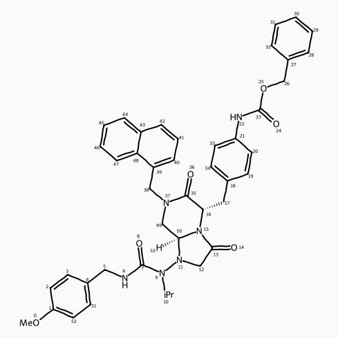 COc1ccc(CNC(=O)N(C(C)C)N2CC(=O)N3[C@@H](Cc4ccc(NC(=O)OCc5ccccc5)cc4)C(=O)N(Cc4cccc5ccccc45)C[C@@H]32)cc1